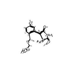 O=C1NC(=O)C(c2cc(Cl)ccc2COCS)N1